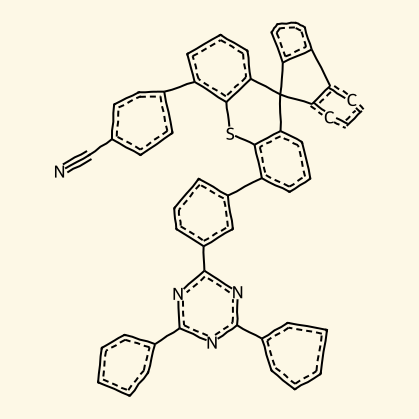 N#Cc1ccc(-c2cccc3c2Sc2c(-c4cccc(-c5nc(-c6ccccc6)nc(-c6ccccc6)n5)c4)cccc2C32c3ccccc3-c3ccccc32)cc1